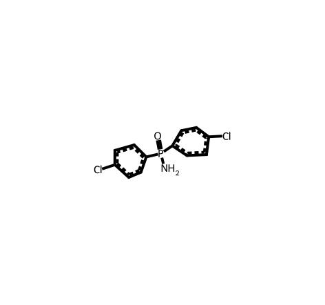 NP(=O)(c1ccc(Cl)cc1)c1ccc(Cl)cc1